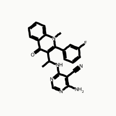 CC(Nc1ncnc(N)c1C#N)c1c(-c2cccc(F)c2)n(C)c2ccccc2c1=O